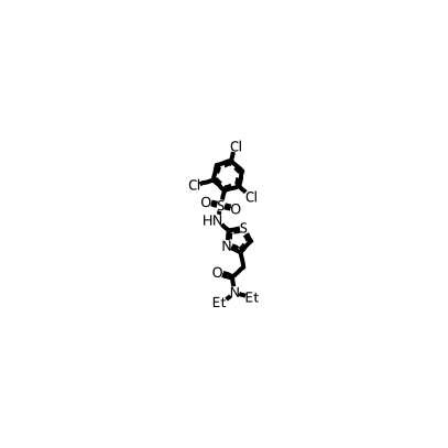 CCN(CC)C(=O)Cc1csc(NS(=O)(=O)c2c(Cl)cc(Cl)cc2Cl)n1